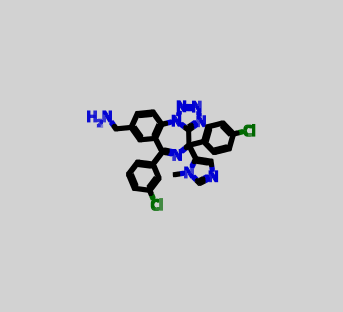 Cn1cncc1C1(c2ccc(Cl)cc2)N=C(c2cccc(Cl)c2)c2cc(CN)ccc2-n2nnnc21